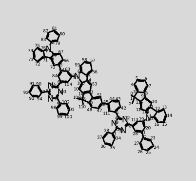 CC1(C)c2ccccc2-c2cc3c4ccccc4n(-c4cc(-c5ccccc5)cc(-c5nc(-c6ccccc6)nc(-c6cccc(-c7ccc8c(c7)-c7cc9c%10ccccc%10n(-c%10cc(-c%11ccc%12c(c%11)c%11ccccc%11n%12-c%11ccccc%11)cc(-c%11nc(-c%12ccccc%12)nc(-c%12ccccc%12)n%11)c%10)c9cc7C8(C)C)c6)n5)c4)c3cc21